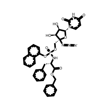 [N-]=[N+]=N[C@]1(COP(=O)(N[C@@H](Cc2ccccc2)C(=O)OCc2ccccc2)Oc2cccc3ccccc23)O[C@@H](n2ccc(=O)[nH]c2=O)[C@H](O)[C@@H]1O